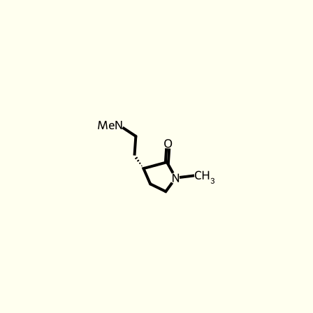 CNCC[C@H]1CCN(C)C1=O